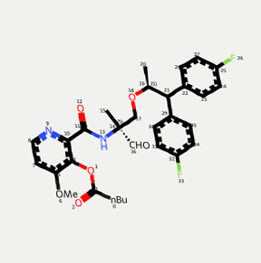 CCCCC(=O)Oc1c(OC)ccnc1C(=O)N[C@](C)(C=O)CO[C@@H](C)C(c1ccc(F)cc1)c1ccc(F)cc1